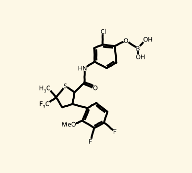 COc1c(C2CC(C)(C(F)(F)F)SC2C(=O)Nc2ccc(OB(O)O)c(Cl)c2)ccc(F)c1F